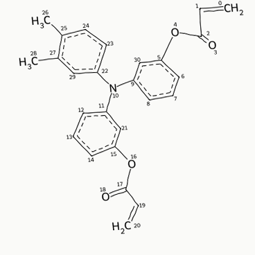 C=CC(=O)Oc1cccc(N(c2cccc(OC(=O)C=C)c2)c2ccc(C)c(C)c2)c1